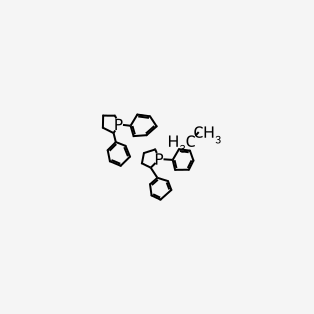 CC.c1ccc(C2CCCP2c2ccccc2)cc1.c1ccc(C2CCCP2c2ccccc2)cc1